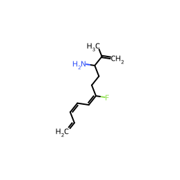 C=C/C=C\C=C(\F)CCC(N)C(=C)C